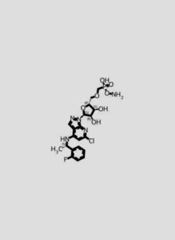 C[C@H](Nc1cc(Cl)nc2c1cnn2[C@H]1O[C@H](COCP(=O)(O)ON)[C@@H](O)[C@H]1O)c1ccccc1F